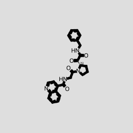 O=C(NCc1ccccc1)C(=O)[C@@H]1CCCN1C(=O)CNC(=O)c1ccnc2ccccc12